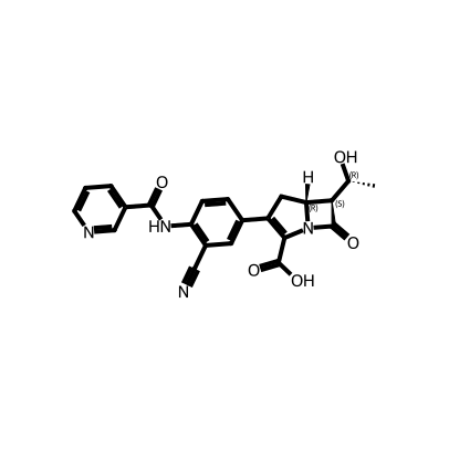 C[C@@H](O)[C@H]1C(=O)N2C(C(=O)O)=C(c3ccc(NC(=O)c4cccnc4)c(C#N)c3)C[C@H]12